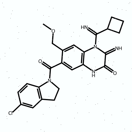 COCc1cc2c(cc1C(=O)N1CCc3cc(Cl)ccc31)[nH]c(=O)c(=N)n2C(=N)C1CCC1